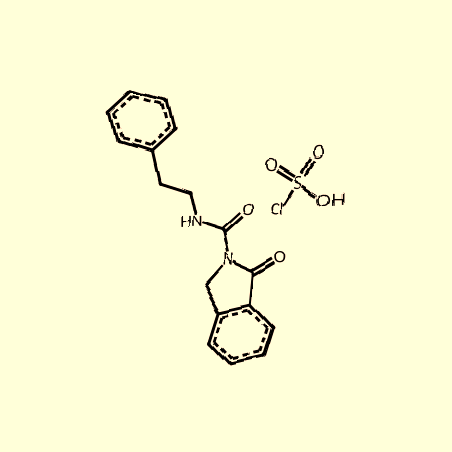 O=C(NCCc1ccccc1)N1Cc2ccccc2C1=O.O=S(=O)(O)Cl